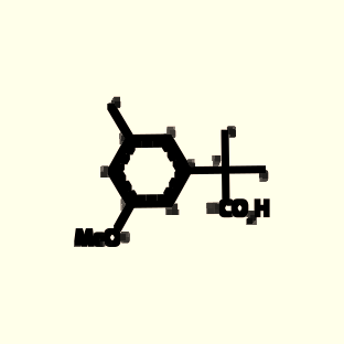 COc1cc(C)cc(C(C)(C)C(=O)O)c1